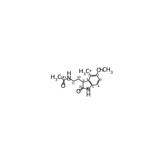 COc1ccc2c(c1C)C(CCNC(C)=O)C(=O)N2